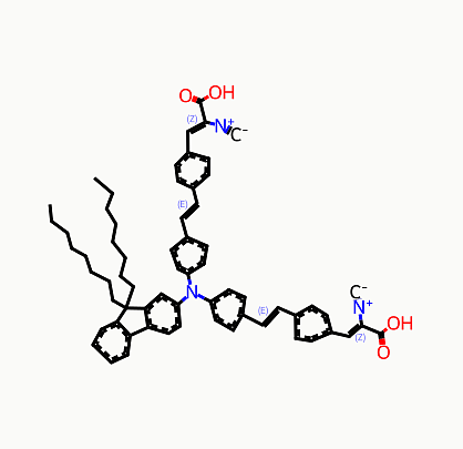 [C-]#[N+]/C(=C\c1ccc(/C=C/c2ccc(N(c3ccc(/C=C/c4ccc(/C=C(\[N+]#[C-])C(=O)O)cc4)cc3)c3ccc4c(c3)C(CCCCCCCC)(CCCCCCCC)c3ccccc3-4)cc2)cc1)C(=O)O